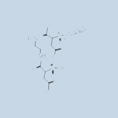 NCCN.O=C([O-])CC(C(=O)[O-])S(=O)(=O)O.O=C([O-])CC(C(=O)[O-])S(=O)(=O)O.[Na+].[Na+].[Na+].[Na+]